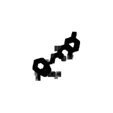 Cc1ccc(Br)c(NC(=O)OC[C@]23CCC[C@H](CC2)N3C(=O)O)c1